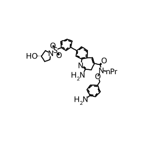 CCCN(OCc1ccc(N)cc1)C(=O)C1=Cc2ccc(-c3cccc(S(=O)(=O)N4CC[C@H](O)C4)c3)cc2N=C(N)C1